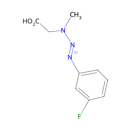 CN(CC(=O)O)/N=N/c1cccc(F)c1